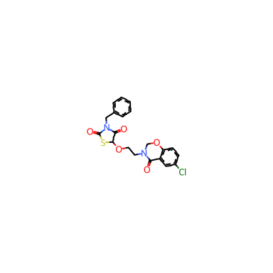 O=C1c2cc(Cl)ccc2OCN1CCOC1SC(=O)N(Cc2ccccc2)C1=O